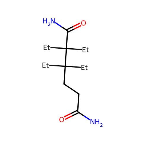 CCC(CC)(CCC(N)=O)C(CC)(CC)C(N)=O